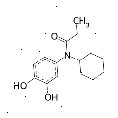 CCC(=O)N(c1ccc(O)c(O)c1)C1CCCCC1